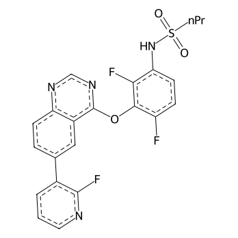 CCCS(=O)(=O)Nc1ccc(F)c(Oc2ncnc3ccc(-c4cccnc4F)cc23)c1F